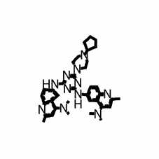 Cc1cc(N(C)C)c2cc(Nc3nc(Nc4ccc5nc(C)cc(N(C)C)c5c4)nc(N4CCN(C5CCCC5)CC4)n3)ccc2n1